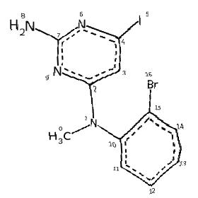 CN(c1cc(I)nc(N)n1)c1ccccc1Br